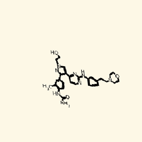 Cc1cc(-c2nn(CCO)cc2-c2ccnc(Nc3cccc(CCN4CCOCC4)c3)n2)ccc1NC(N)=O